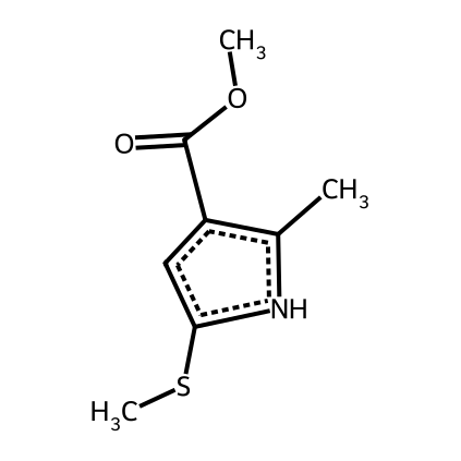 COC(=O)c1cc(SC)[nH]c1C